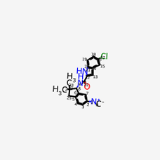 [C-]#[N+]c1ccc2c(c1)[C@H](NC(=O)c1cc3cc(Cl)ccc3[nH]1)C(C)(C)C2